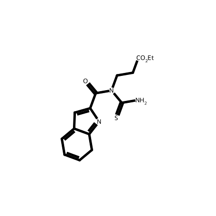 CCOC(=O)CCN(C(=O)C1=CC2=CC=CCC2=N1)C(N)=S